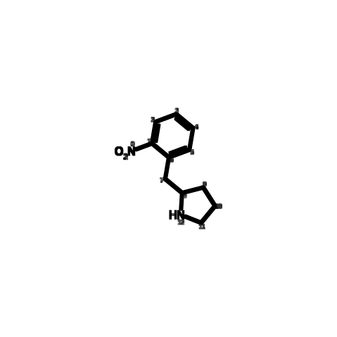 O=[N+]([O-])c1ccccc1CC1CCCN1